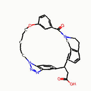 O=C(O)CC1c2ccc3c(c2)CN(CC3)C(=O)c2cccc(c2)OCCCCCn2nnc3cc1ccc32